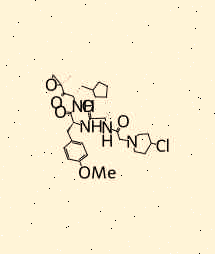 COc1ccc(C[C@H](NC(=O)[C@H](C)NC(=O)CN2CCC(Cl)CC2)C(=O)N[C@@H](CC2CCCC2)C(=O)[C@]2(C)CO2)cc1